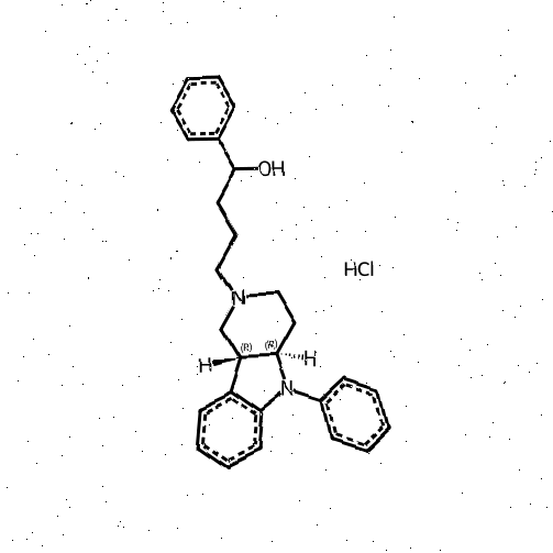 Cl.OC(CCCN1CC[C@@H]2[C@@H](C1)c1ccccc1N2c1ccccc1)c1ccccc1